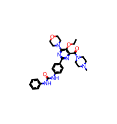 CCOc1c(C(=O)N2CCN(C)CC2)nc(-c2ccc(NC(=O)Nc3ccccc3)cc2)nc1N1CCOCC1